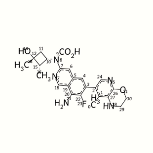 Cc1c(-c2cc3cc(N(C(=O)O)[C@H]4C[C@@](C)(O)[C@H]4C)ncc3c(N)c2F)cnc2c1NCCO2